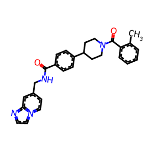 Cc1ccccc1C(=O)N1CCC(c2ccc(C(=O)NCc3ccn4ccnc4c3)cc2)CC1